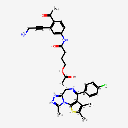 COC(=O)c1ccc(NC(=O)CCCOC(=O)C[C@@H]2N=C(c3ccc(Cl)cc3)c3c(sc(C)c3C)-n3c(C)nnc32)cc1C#CCN